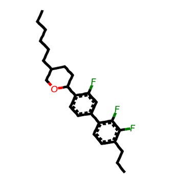 CCCCCCC1CCC(c2ccc(-c3ccc(CCC)c(F)c3F)cc2F)OC1